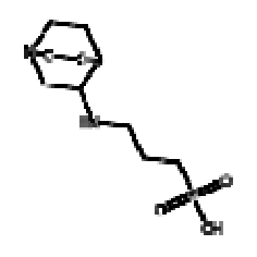 O=S(=O)(O)CCCNC1CN2CCC1CC2